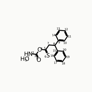 O=C(NO)OC(=S)CC(c1ccccc1)c1ccccc1